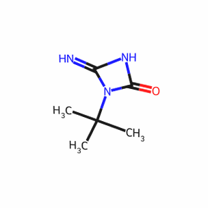 CC(C)(C)N1C(=N)NC1=O